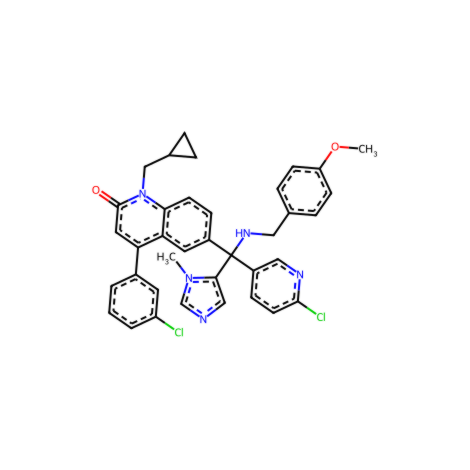 COc1ccc(CNC(c2ccc(Cl)nc2)(c2ccc3c(c2)c(-c2cccc(Cl)c2)cc(=O)n3CC2CC2)c2cncn2C)cc1